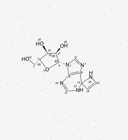 OC[C@H]1O[C@@H](n2cnc3c2N=CNC32C=CN2)[C@H](O)[C@@H]1O